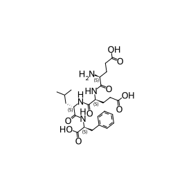 CC(C)C[C@H](NC(=O)[C@H](CCC(=O)O)NC(=O)[C@@H](N)CCC(=O)O)C(=O)N[C@@H](Cc1ccccc1)C(=O)O